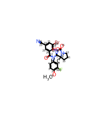 COc1ccc(-n2c(C3(C)CCCN3C(=O)O)nc3c(Br)cc(C#N)cc3c2=O)cc1F